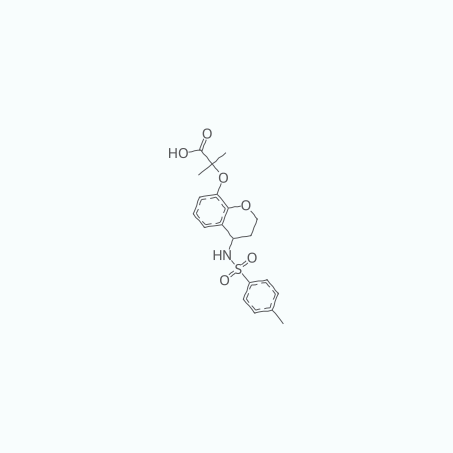 Cc1ccc(S(=O)(=O)NC2CCOc3c(OC(C)(C)C(=O)O)cccc32)cc1